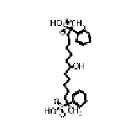 CC(CCCCCC(O)CCCCCC(C)(c1ccccc1)S(=O)(=O)O)(c1ccccc1)S(=O)(=O)O